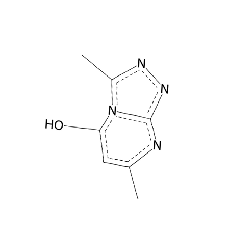 Cc1cc(O)n2c(C)nnc2n1